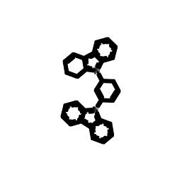 C1=Cc2c(n(C3C=C(n4c5ccccc5c5ccccc54)C=CC3)c3ccccc23)CC1